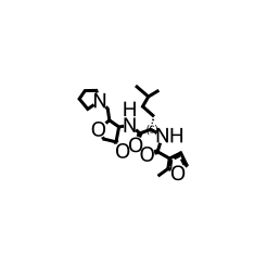 Cc1occc1C(=O)N[C@@H](CCC(C)C)C(=O)NC1C(=O)COC1CN1CCCC1